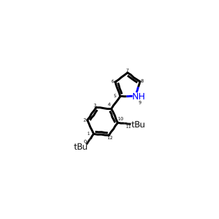 CC(C)(C)c1ccc(-c2ccc[nH]2)c(C(C)(C)C)c1